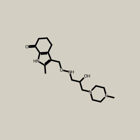 Cc1[nH]c2c(c1CONCC(O)CN1CCN(C)CC1)CCCC2=O